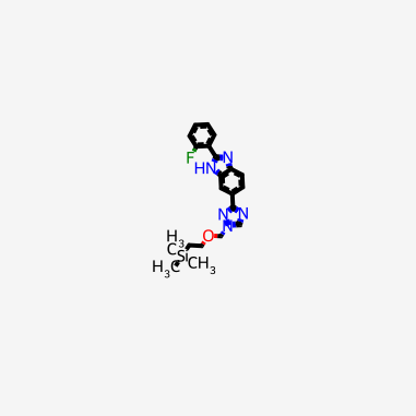 C[Si](C)(C)CCOCn1cnc(-c2ccc3nc(-c4ccccc4F)[nH]c3c2)n1